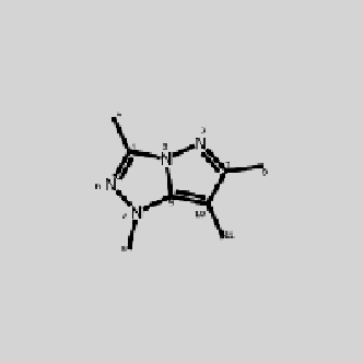 Cc1nn2c(C)nn(C)c2c1C